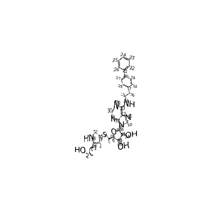 O=C(O)[C@@H]1C[C@H](SC[C@H]2O[C@@H](n3cnc4c(NCCc5ccc(-c6ccccc6)cc5)ncnc43)[C@H](O)[C@@H]2O)CN1